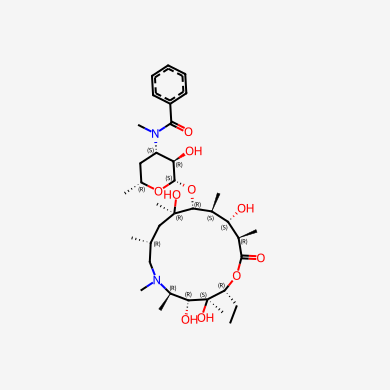 CC[C@H]1OC(=O)[C@H](C)[C@@H](O)[C@H](C)[C@@H](O[C@@H]2O[C@H](C)C[C@H](N(C)C(=O)c3ccccc3)[C@H]2O)[C@](C)(O)C[C@@H](C)CN(C)[C@H](C)[C@@H](O)[C@]1(C)O